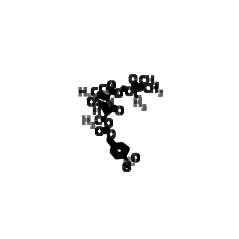 CC(OC(=O)OCc1ccc([N+](=O)[O-])cc1)[C@H]1C(=O)N2[C@@H]1[S+]([O-])C(C)(C)[C@@H]2C(=O)OCOC(=O)C(C)(C)C